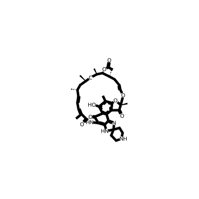 CC(=O)O[C@@H]1[C@H](C)C/C=C/O[C@@]2(C)Oc3c(C)c(O)c4c(c3C2=O)C2=NC3(CCNCC3)NC2=C(NC(=O)/C(C)=C\C=C\[C@H](C)C[C@@H](C)C[C@H]1C)C4=O